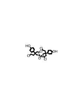 O=[PH](OCC(CCCl)(CCCl)c1ccc(O)cc1)OCC(CCCl)(CCCl)c1ccc(O)cc1